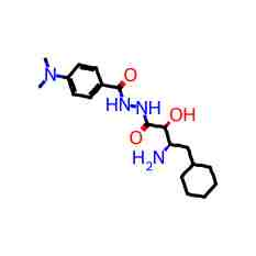 CN(C)c1ccc(C(=O)NNC(=O)C(O)[C@H](N)CC2CCCCC2)cc1